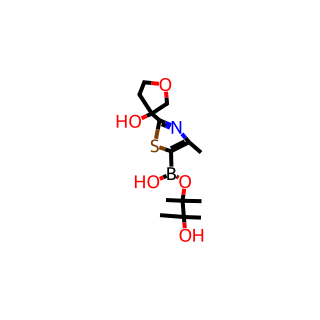 Cc1nc(C2(O)CCOC2)sc1B(O)OC(C)(C)C(C)(C)O